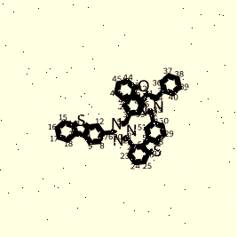 c1ccc(-c2nc(-c3ccc4c(c3)sc3ccccc34)nc(-c3cccc4sc5ccc(-c6nc(-c7ccccc7)c7oc8ccccc8c7n6)cc5c34)n2)cc1